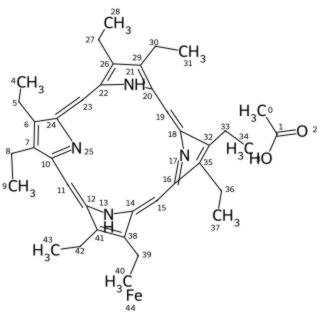 CC(=O)O.CCC1=C(CC)c2cc3[nH]c(cc4nc(cc5[nH]c(cc1n2)c(CC)c5CC)C(CC)=C4CC)c(CC)c3CC.[Fe]